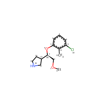 CCOC[C@H](Oc1cccc(Cl)c1C(F)(F)F)C1CCNC1